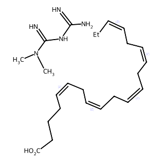 CC/C=C\C/C=C\C/C=C\C/C=C\C/C=C\CCCC(=O)O.CN(C)C(=N)NC(=N)N